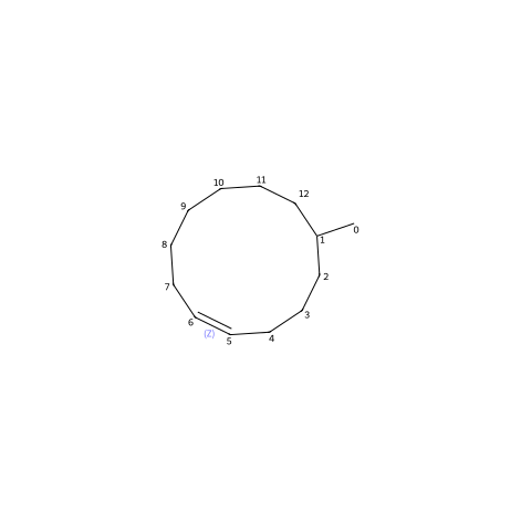 CC1CCC/C=C\CCCCCC1